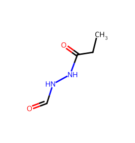 CCC(=O)NNC=O